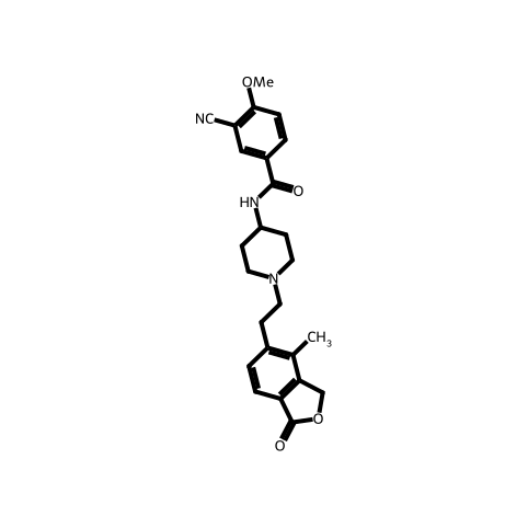 COc1ccc(C(=O)NC2CCN(CCc3ccc4c(c3C)COC4=O)CC2)cc1C#N